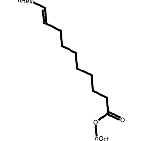 CCCCCCC=CCCCCCCCC(=O)OCCCCCCCC